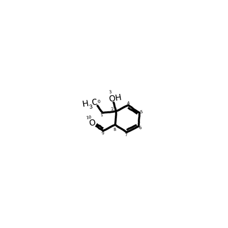 CCC1(O)C=CC=CC1C=O